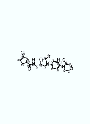 CC1=NOCCN1c1ccc(N2C[C@H](CNC(=O)C3CC=C(Cl)S3)OC2=O)cc1